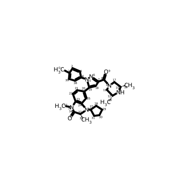 Cc1ccc(-n2nc(C(=O)N3C[C@@H](C)N[C@@H](C)C3)cc2-c2ccc3c(c2)N(C2CCCC2)[C@H](C)C(=O)N3C)cc1